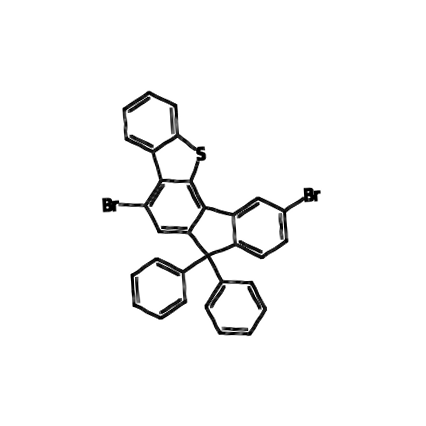 Brc1ccc2c(c1)-c1c(cc(Br)c3c1sc1ccccc13)C2(c1ccccc1)c1ccccc1